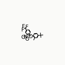 Cc1cc(C(C)(C)C)ccc1Oc1ccc(C(F)(F)F)cc1[N+](=O)[O-]